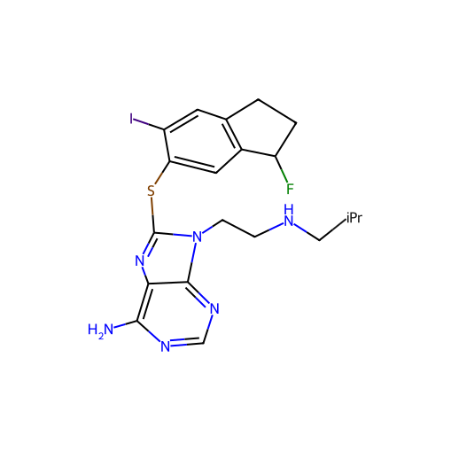 CC(C)CNCCn1c(Sc2cc3c(cc2I)CCC3F)nc2c(N)ncnc21